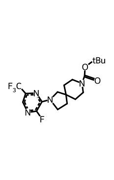 CC(C)(C)OC(=O)N1CCC2(CC1)CCN(c1nc(C(F)(F)F)cnc1F)C2